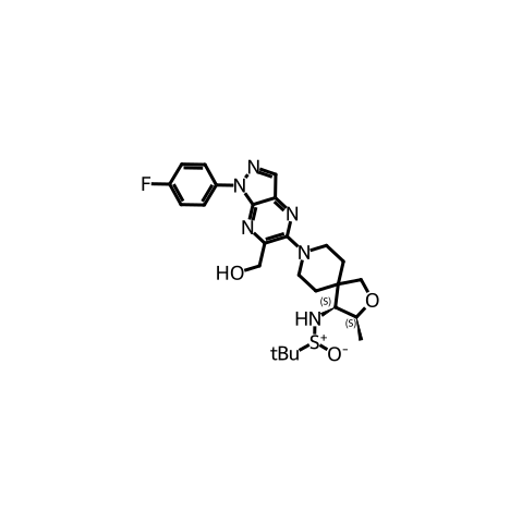 C[C@@H]1OCC2(CCN(c3nc4cnn(-c5ccc(F)cc5)c4nc3CO)CC2)[C@@H]1N[S+]([O-])C(C)(C)C